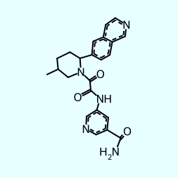 CC1CCC(c2ccc3cnccc3c2)N(C(=O)C(=O)Nc2cncc(C(N)=O)c2)C1